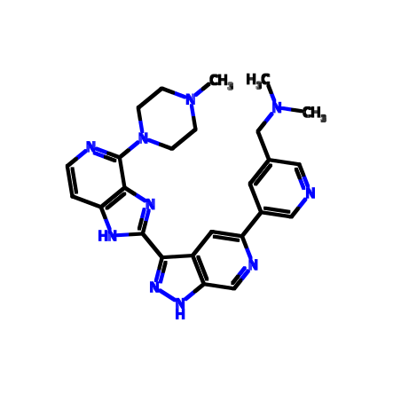 CN(C)Cc1cncc(-c2cc3c(-c4nc5c(N6CCN(C)CC6)nccc5[nH]4)n[nH]c3cn2)c1